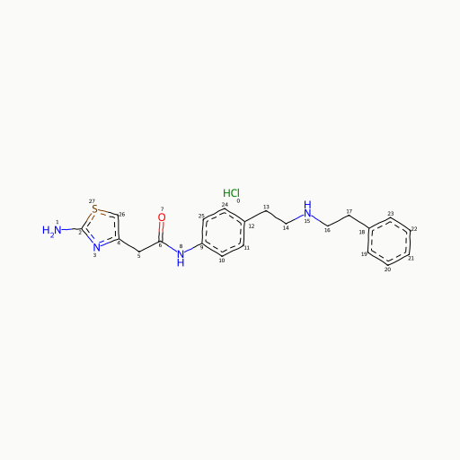 Cl.Nc1nc(CC(=O)Nc2ccc(CCNCCc3ccccc3)cc2)cs1